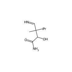 CC(C)C(C)(C=N)C(O)C(N)=O